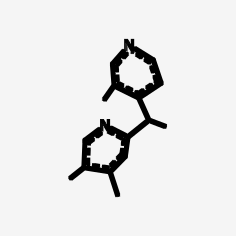 Cc1cnc(C(C)c2ccncc2C)cc1C